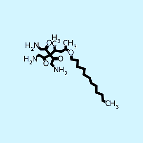 CCCCCCCCCCCCOC(C)CC(C)C(C(=O)CN)(C(=O)CN)C(=O)CN